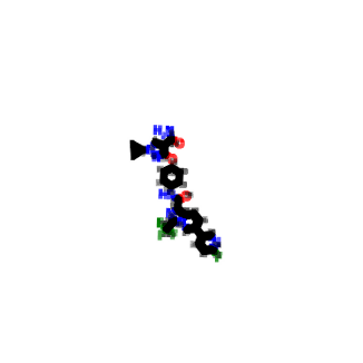 NC(=O)c1cn(C2CC2)nc1O[C@H]1CC[C@H](NC(=O)c2nc(C(F)(F)F)n3cc(-c4ccc(F)nc4)ccc23)CC1